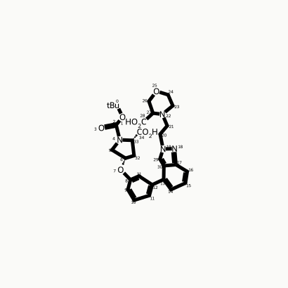 CC(C)(C)OC(=O)N1C[C@@H](Oc2cccc(-c3cccc4nn(CCN5CCOCC5C(=O)O)cc34)c2)C[C@H]1C(=O)O